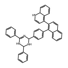 C1=CC2=C(c3ccc4ccccc4c3-c3ccc(C4N=C(c5ccccc5)NC(c5ccccc5)N4)cc3)C=CNC2C=C1